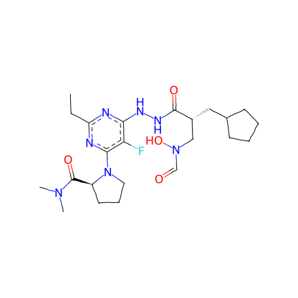 CCc1nc(NNC(=O)[C@H](CC2CCCC2)CN(O)C=O)c(F)c(N2CCC[C@H]2C(=O)N(C)C)n1